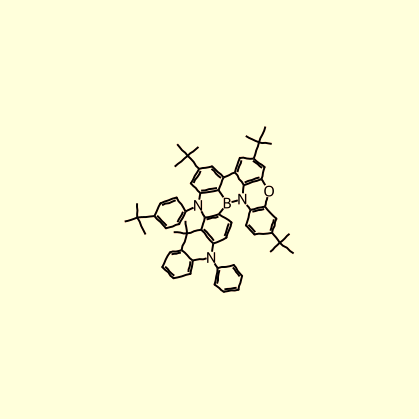 CC(C)(C)c1ccc(N2c3cc(C(C)(C)C)cc4c3B(c3ccc5c(c32)C(C)(C)c2ccccc2N5c2ccccc2)N2c3ccc(C(C)(C)C)cc3Oc3cc(C(C)(C)C)cc-4c32)cc1